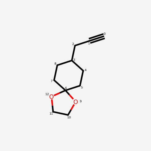 C#CCC1CCC2(CC1)OCCO2